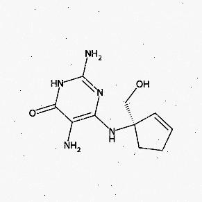 Nc1nc(N[C@@]2(CO)C=CCC2)c(N)c(=O)[nH]1